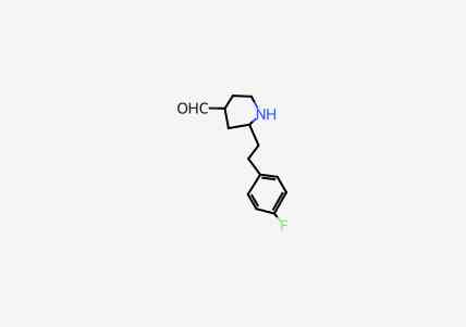 O=CC1CCNC(CCc2ccc(F)cc2)C1